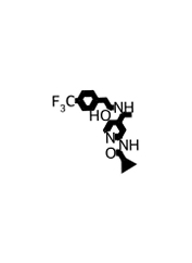 CC(NC(O)Cc1ccc(C(F)(F)F)cc1)c1ccnc(NC(=O)C2CC2)c1